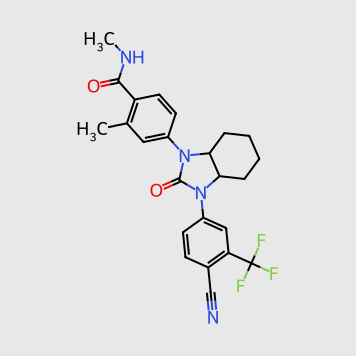 CNC(=O)c1ccc(N2C(=O)N(c3ccc(C#N)c(C(F)(F)F)c3)C3CCCCC32)cc1C